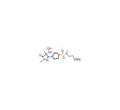 COCCN(C)S(=O)(=O)c1ccc(C2=NN(C)C(=O)C2(C)NO)cc1